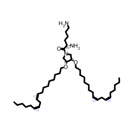 CCCCC/C=C\C/C=C\CCCCCCCCO[C@@H]1CN(C(=O)[C@@H](N)CCCCN)C[C@H]1OCCCCCCCC/C=C\C/C=C\CCCCC